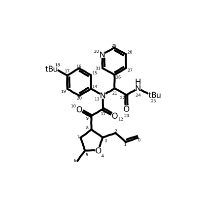 C=CCC1OC(C)CC1C(=O)C(=O)N(c1ccc(C(C)(C)C)cc1)C(C(=O)NC(C)(C)C)c1cccnc1